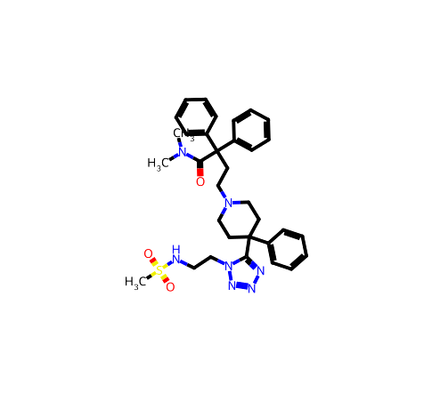 CN(C)C(=O)C(CCN1CCC(c2ccccc2)(c2nnnn2CCNS(C)(=O)=O)CC1)(c1ccccc1)c1ccccc1